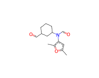 Cc1cc(N(C=O)C2CCCC(C=O)C2)c(C)o1